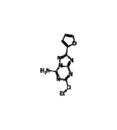 CCOc1nc(N)n2nc(-c3ccco3)nc2n1